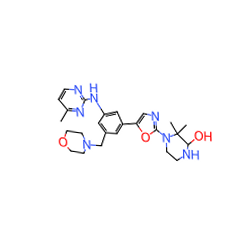 Cc1ccnc(Nc2cc(CN3CCOCC3)cc(-c3cnc(N4CCNC(O)C4(C)C)o3)c2)n1